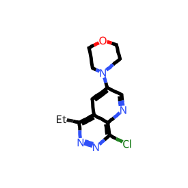 CCc1nnc(Cl)c2ncc(N3CCOCC3)cc12